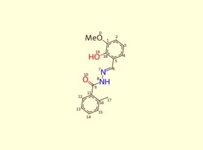 COc1cccc(C=NNC(=O)c2ccccc2C)c1O